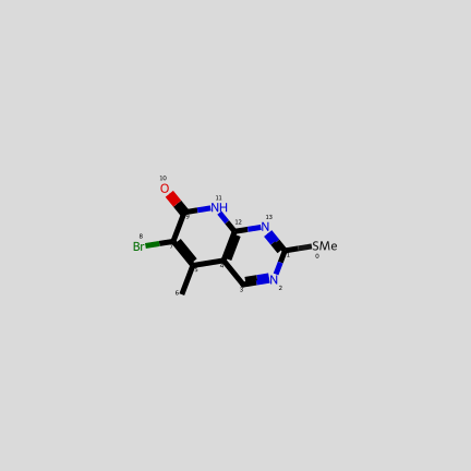 CSc1ncc2c(C)c(Br)c(=O)[nH]c2n1